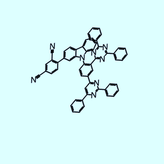 N#Cc1ccc(-c2ccc3c4ccccc4n(-c4ccc(-c5cc(-c6ccccc6)nc(-c6ccccc6)n5)cc4-c4nc(-c5ccccc5)nc(-c5ccccc5)n4)c3c2)c(C#N)c1